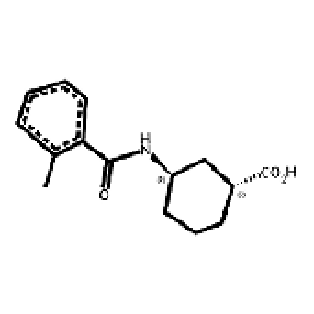 Cc1ccccc1C(=O)N[C@@H]1CCC[C@@H](C(=O)O)C1